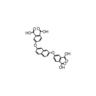 O=C(O)c1ccc(Oc2ccc3ccc(Oc4ccc(C(=O)O)c(C(=O)O)c4)cc3c2)cc1C(=O)O